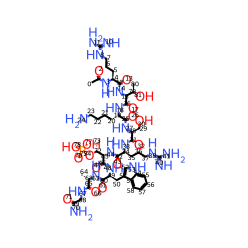 CC(=O)N[C@@H](CCCNC(=N)N)C(=O)N[C@H](C(=O)N[C@@H](CCCCN)C(=O)N[C@@H](CO)C(=O)N[C@@H](CCCNC(=N)N)C(=O)N[C@H](C(=O)N[C@@H](Cc1c[nH]c2ccccc12)C(=O)N[C@@H](C)C(=O)NCC(N)=O)[C@@H](C)OP(=O)(O)O)[C@@H](C)O